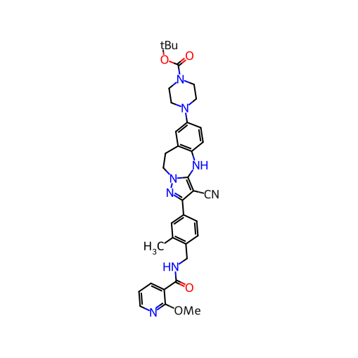 COc1ncccc1C(=O)NCc1ccc(-c2nn3c(c2C#N)Nc2ccc(N4CCN(C(=O)OC(C)(C)C)CC4)cc2CC3)cc1C